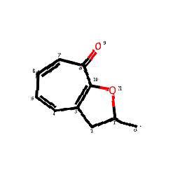 [CH2]C1Cc2ccccc(=O)c2O1